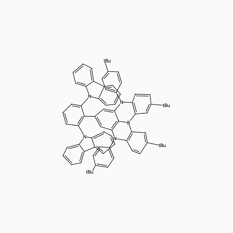 CC(C)(C)c1ccc(N2c3ccc(C(C)(C)C)cc3B3c4cc(C(C)(C)C)ccc4N(c4ccc(C(C)(C)C)cc4)c4cc(-c5c(-n6c7ccccc7c7ccccc76)cccc5-n5c6ccccc6c6ccccc65)cc2c43)cc1